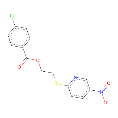 O=C(OCCSc1ccc([N+](=O)[O-])cn1)c1ccc(Cl)cc1